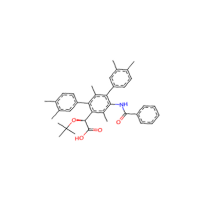 Cc1ccc(-c2c(C)c(-c3ccc(C)c(C)c3)c([C@H](OC(C)(C)C)C(=O)O)c(C)c2NC(=O)c2ccccc2)cc1C